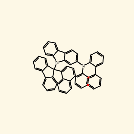 c1ccc(-c2ccccc2N(c2ccccc2)c2ccc3c4ccccc4n(C4(c5cccc6ccccc56)c5ccccc5-c5ccccc54)c3c2)cc1